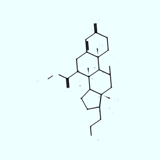 CC(C)OC(=O)C1CC2=CC(=O)CC[C@]2(C)[C@@]23OC2C[C@@]2(C)[C@@H](CC[C@]2(O)CCC(=O)[O-])[C@H]13.[K+]